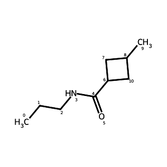 CCCNC(=O)C1CC(C)C1